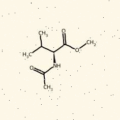 [CH2]OC(=O)[C@@H](NC(C)=O)C(C)C